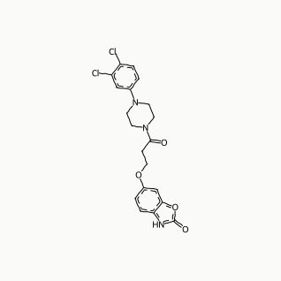 O=C(CCOc1ccc2[nH]c(=O)oc2c1)N1CCN(c2ccc(Cl)c(Cl)c2)CC1